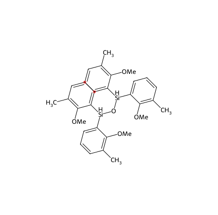 COc1c(C)cccc1[SiH](O[SiH](c1cccc(C)c1OC)c1cccc(C)c1OC)c1cccc(C)c1OC